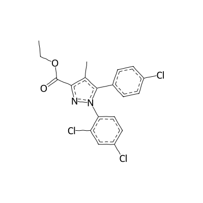 CCOC(=O)c1nn(-c2ccc(Cl)cc2Cl)c(-c2ccc(Cl)cc2)c1C